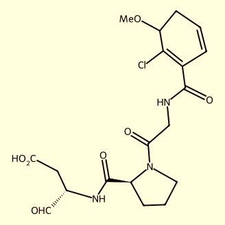 COC1CC=CC(C(=O)NCC(=O)N2CCC[C@H]2C(=O)N[C@H](C=O)CC(=O)O)=C1Cl